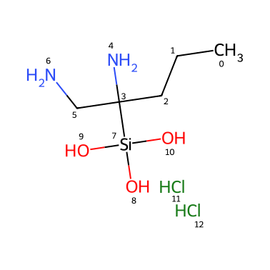 CCCC(N)(CN)[Si](O)(O)O.Cl.Cl